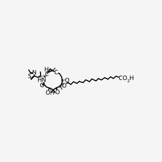 C/C(=C\c1csc(C)n1)[C@@H]1C[C@@H]2C[C@]2(C)CCC[C@H](C)[C@H](OC(=O)CCCCCCCCCCCCCCCCC(=O)O)[C@@H](C)C(=O)C(C)(C)[C@@H](O)CC(=O)N1